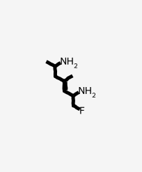 C/C(=C\C(N)CF)CC(C)N